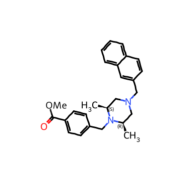 COC(=O)c1ccc(CN2[C@H](C)CN(Cc3ccc4ccccc4c3)C[C@@H]2C)cc1